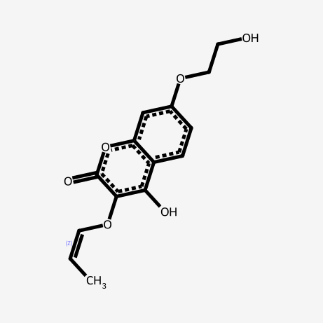 C/C=C\Oc1c(O)c2ccc(OCCO)cc2oc1=O